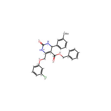 COc1cccc(C2NC(=O)NC(COc3cccc(Cl)c3)=C2C(=O)OCc2ccccc2)c1